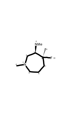 CN[C@@H]1CN(C)CCC[C@]1(C)F